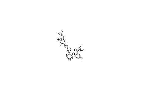 CCN(CC)C[C@H](O)C[C@H](C(C)C)N1CC2(CCN(c3ncnnc3Oc3ccc(F)cc3C(=O)N(CC)C(C)C)C2)C1